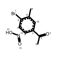 CC(=O)c1ccc(Br)c(C)c1.O=NO